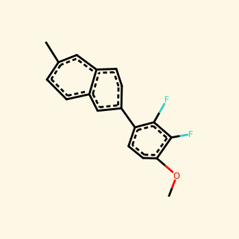 COc1ccc(-c2ccc3cc(C)ccc3c2)c(F)c1F